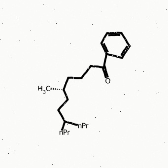 CCCC(CCC)CC[C@H](C)CCCC(=O)c1ccccc1